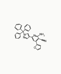 N#Cc1c(-c2ccco2)cc(-c2cnn(C(c3ccccc3)(c3ccccc3)c3ccccc3)c2)nc1N